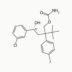 CC(C)(C)C(COC(N)=O)(C[C@@H](O)c1cccc(Cl)c1)c1ccc(I)cc1